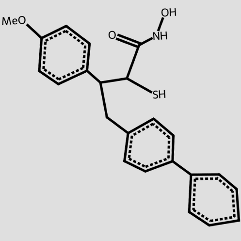 COc1ccc(C(Cc2ccc(-c3ccccc3)cc2)C(S)C(=O)NO)cc1